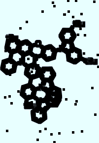 CC(C)(C)c1cc2c3c(c1)N(c1ccccc1-c1ccccc1)c1cc(-c4ccc(C(C)(C)C)c(-n5c6ccccc6c6ccccc65)c4-n4c5ccccc5c5ccccc54)ccc1B3c1ccc(-n3c4ccc(C(C)(C)C)cc4c4cc(C(C)(C)C)ccc43)cc1O2